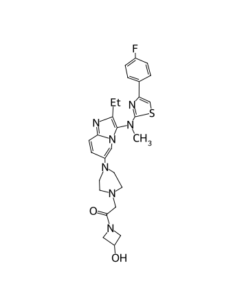 CCc1nc2ccc(N3CCN(CC(=O)N4CC(O)C4)CC3)cn2c1N(C)c1nc(-c2ccc(F)cc2)cs1